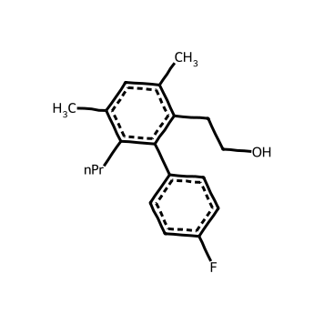 CCCc1c(C)cc(C)c(CCO)c1-c1ccc(F)cc1